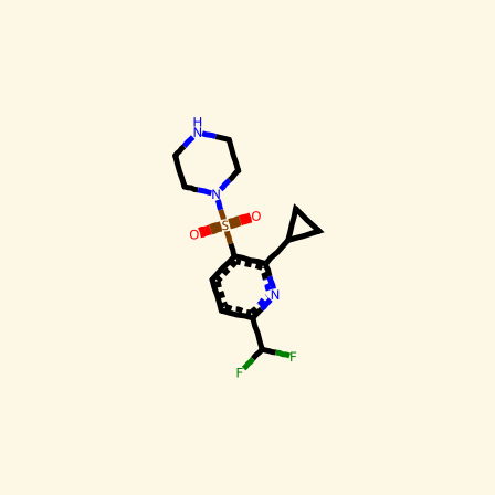 O=S(=O)(c1ccc(C(F)F)nc1C1CC1)N1CCNCC1